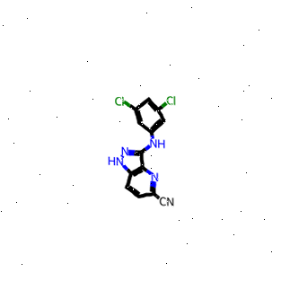 N#Cc1ccc2[nH]nc(Nc3cc(Cl)cc(Cl)c3)c2n1